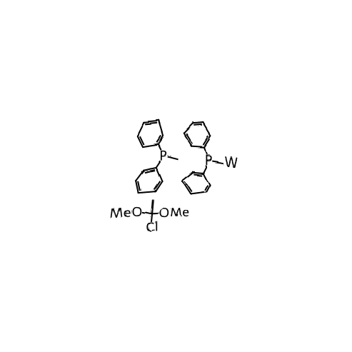 COC(C)(Cl)OC.CP(c1ccccc1)c1ccccc1.CP(c1ccccc1)c1ccccc1.[W]